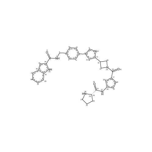 O=C(NCc1ccc(-c2cnc(C3CN(C(=O)c4ccc(NC(=O)[C@@H]5CCCN5)s4)C3)s2)cc1)c1cc2ccccc2[nH]1